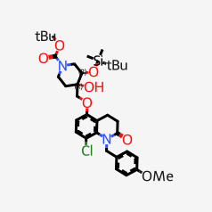 COc1ccc(CN2C(=O)CCc3c(OC[C@]4(O)CCN(C(=O)OC(C)(C)C)C[C@H]4O[Si](C)(C)C(C)(C)C)ccc(Cl)c32)cc1